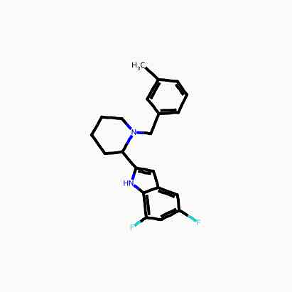 Cc1cccc(CN2CCCCC2c2cc3cc(F)cc(F)c3[nH]2)c1